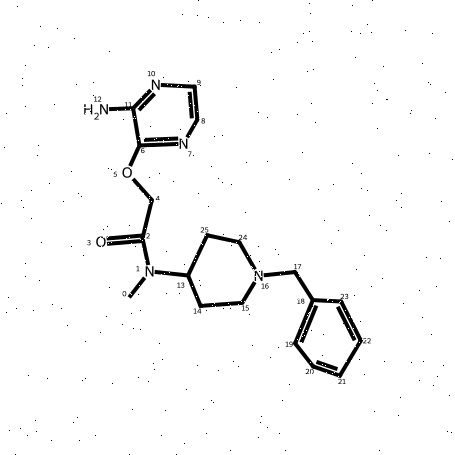 CN(C(=O)COc1nccnc1N)C1CCN(Cc2ccccc2)CC1